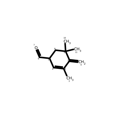 C=C1C(C)=CC(C=O)CC1(C)C